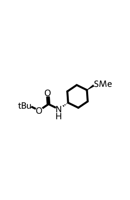 CS[C@H]1CC[C@H](NC(=O)OC(C)(C)C)CC1